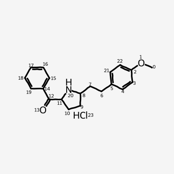 COc1ccc(CCC2CCC(C(=O)c3ccccc3)N2)cc1.Cl